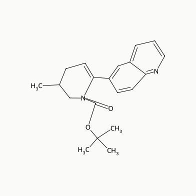 CC1CC=C(c2ccc3ncccc3c2)N(C(=O)OC(C)(C)C)C1